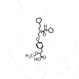 CCOC(Cc1ccc(OCCN(CCC2CCCC2)C(=O)NC2CCCC2)cc1)C(=O)O